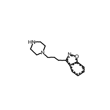 c1ccc2c(CCCN3CCNCC3)noc2c1